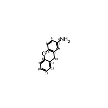 Nc1[c]c2c(cc1)Oc1ccccc1C2